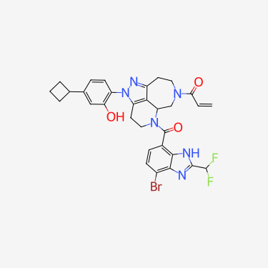 C=CC(=O)N1CCc2nn(-c3ccc(C4CCC4)cc3O)c3c2C(C1)N(C(=O)c1ccc(Br)c2nc(C(F)F)[nH]c12)CC3